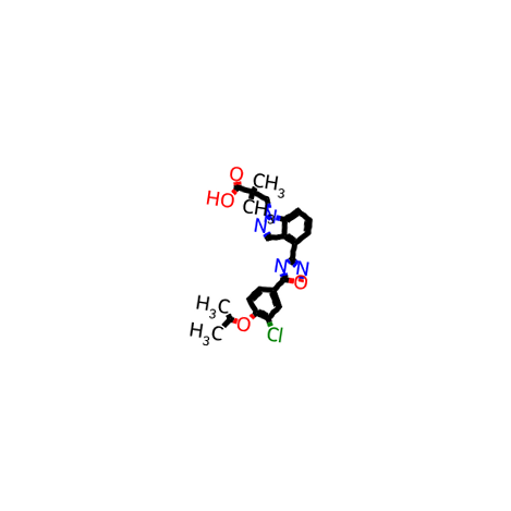 CC(C)Oc1ccc(-c2nc(-c3cccc4c3cnn4CC(C)(C)C(=O)O)no2)cc1Cl